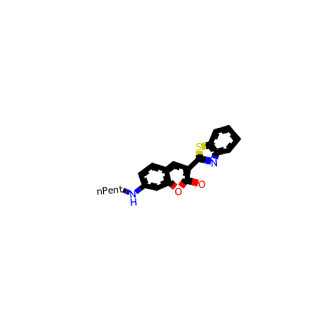 CCCCCNc1ccc2cc(-c3nc4ccccc4s3)c(=O)oc2c1